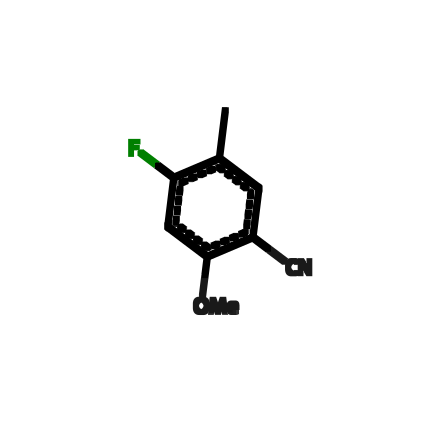 COc1cc(F)c(C)cc1C#N